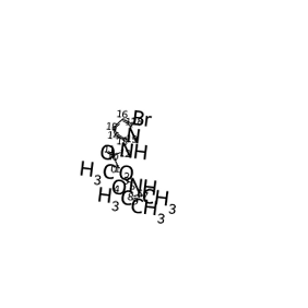 C[C@H](OC(=O)NC(C)(C)C)C(=O)Nc1cccc(Br)n1